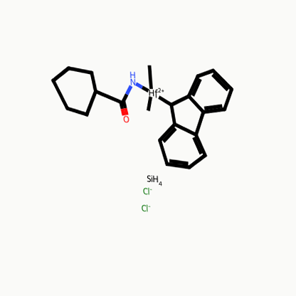 [CH3][Hf+2]([CH3])([NH]C(=O)C1CCCCC1)[CH]1c2ccccc2-c2ccccc21.[Cl-].[Cl-].[SiH4]